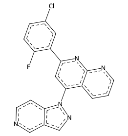 Fc1ccc(Cl)cc1-c1cc(-n2ncc3cnccc32)c2cccnc2n1